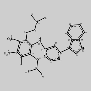 Cc1c(N)c([N+](=O)[O-])c(CCN(C)C)c(Nc2nccc(-c3c[nH]c4ccccc34)n2)c1OC(F)F